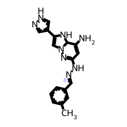 Cc1cccc(/C=N/NC2=NN3C=C(c4cn[nH]c4)NC3C(N)=C2)c1